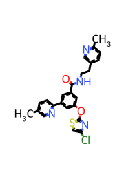 Cc1ccc(-c2cc(Oc3nc(Cl)cs3)cc(C(=O)NCCc3ccc(C)nc3)c2)nc1